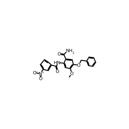 COc1cc(NC(=O)c2cccc([N+](=O)[O-])c2)c(C(N)=O)cc1OCc1ccccc1